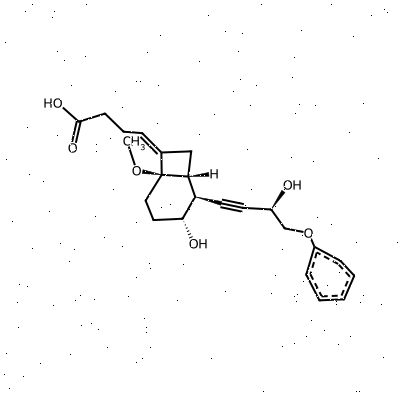 CO[C@]12CC[C@@H](O)[C@H](C#C[C@@H](O)COc3ccccc3)[C@H]1C/C2=C/CCC(=O)O